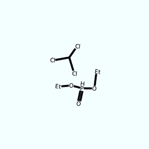 CCO[PH](=O)OCC.ClC(Cl)Cl